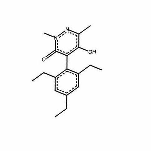 CCc1cc(CC)c(-c2c(O)c(C)nn(C)c2=O)c(CC)c1